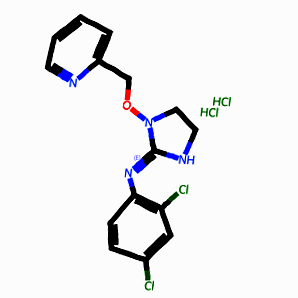 Cl.Cl.Clc1ccc(/N=C2\NCCN2OCc2ccccn2)c(Cl)c1